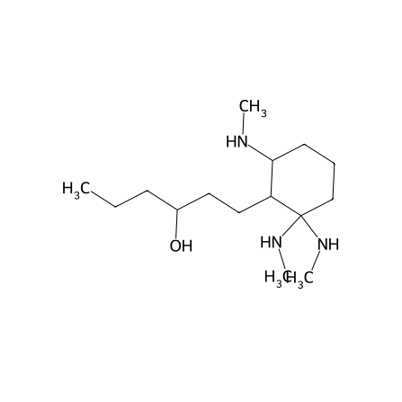 CCCC(O)CCC1C(NC)CCCC1(NC)NC